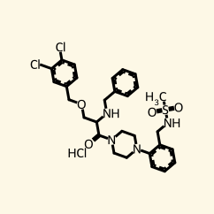 CS(=O)(=O)NCc1ccccc1N1CCN(C(=O)C(COCc2ccc(Cl)c(Cl)c2)NCc2ccccc2)CC1.Cl